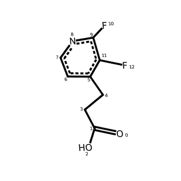 O=C(O)CCc1ccnc(F)c1F